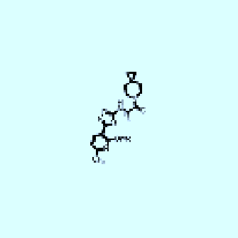 COc1nc(C(F)(F)F)ccc1-c1nnc(N[C@H](C)C(=O)N2CCC3(CC2)CC3)o1